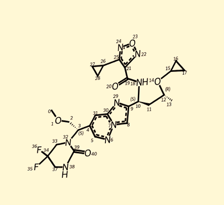 COC[C@H](c1cnn2cc([C@H](C[C@@H](C)OC3CC3)NC(=O)c3nonc3C3CC3)nc2c1)N1CC(F)(F)CNC1=O